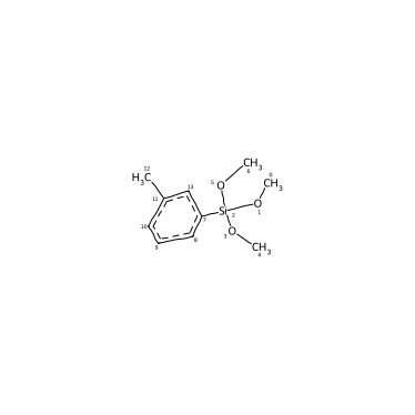 CO[Si](OC)(OC)c1cccc(C)c1